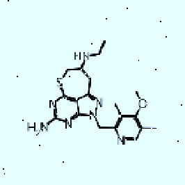 CCNC1CSc2nc(N)nc3c2c(nn3Cc2ncc(C)c(OC)c2C)C1